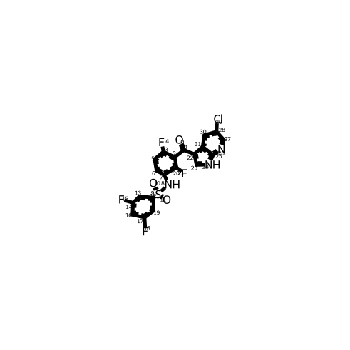 O=C(c1c(F)ccc(NS(=O)(=O)c2cc(F)cc(F)c2)c1F)c1c[nH]c2ncc(Cl)cc12